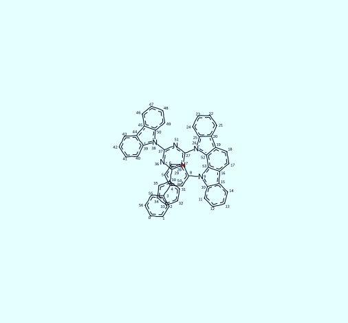 c1ccc(-c2cccc(-n3c4ccccc4c4ccc5c6ccccc6n(-c6nc(-c7ccccc7)nc(-n7c8ccccc8c8ccccc87)n6)c5c43)c2)cc1